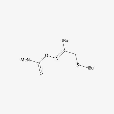 CCC(C)SCC(=NOC(=O)NC)C(C)(C)C